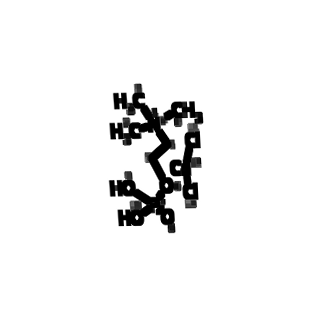 C[N+](C)(C)CCOP(=O)(O)O.[Cl][Ca][Cl]